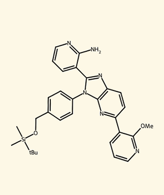 COc1ncccc1-c1ccc2nc(-c3cccnc3N)n(-c3ccc(CO[Si](C)(C)C(C)(C)C)cc3)c2n1